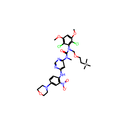 COc1cc(OC)c(Cl)c(N(COCC[Si](C)(C)C)C(=O)N(C)c2cc(Nc3ccc(N4CCOCC4)cc3[N+](=O)[O-])ncn2)c1Cl